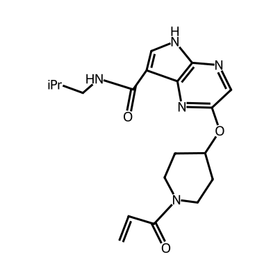 C=CC(=O)N1CCC(Oc2cnc3[nH]cc(C(=O)NCC(C)C)c3n2)CC1